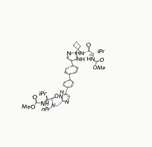 CCCN(Cc1ncc(-c2ccc(-c3ccc(-c4cnc(C5(NC(=O)[C@@H](NC(=O)OC)C(C)C)CCC5)[nH]4)cc3)cc2)[nH]1)C(=O)[C@@H](NC(=O)OC)C(C)C